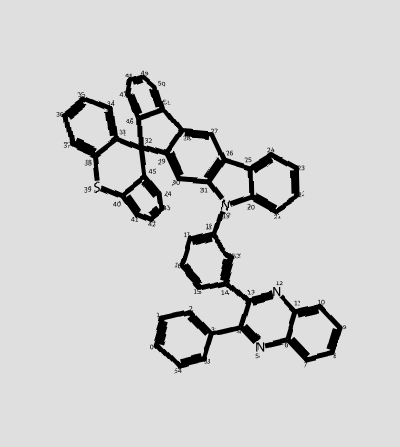 c1ccc(-c2nc3ccccc3nc2-c2cccc(-n3c4ccccc4c4cc5c(cc43)C3(c4ccccc4Sc4ccccc43)c3ccccc3-5)c2)cc1